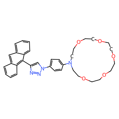 c1ccc2c(-c3cn(-c4ccc(N5CCOCCOCCOCCOCCOCC5)cc4)nn3)c3ccccc3cc2c1